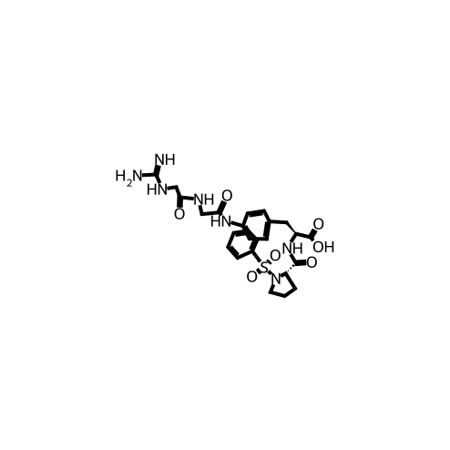 N=C(N)NCC(=O)NCC(=O)Nc1ccc(C[C@H](NC(=O)[C@@H]2CCCN2S(=O)(=O)c2ccccc2)C(=O)O)cc1